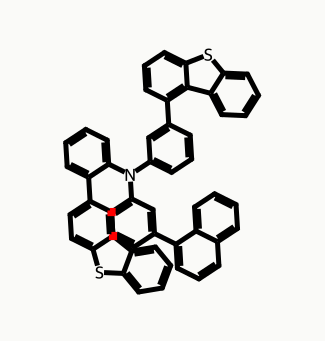 c1cc(-c2cccc3ccccc23)cc(N(c2cccc(-c3cccc4sc5ccccc5c34)c2)c2ccccc2-c2ccc3sc4ccccc4c3c2)c1